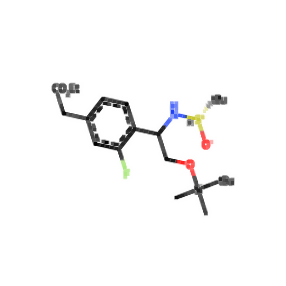 CCOC(=O)Cc1ccc(C(CO[Si](C)(C)C(C)(C)C)N[S@@+]([O-])C(C)(C)C)c(F)c1